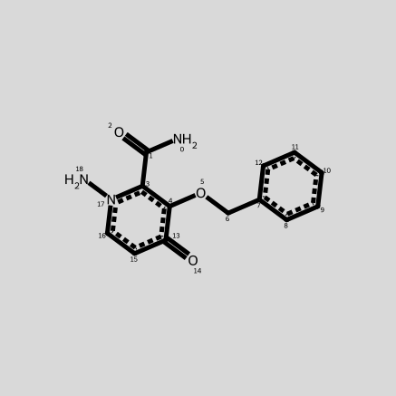 NC(=O)c1c(OCc2ccccc2)c(=O)ccn1N